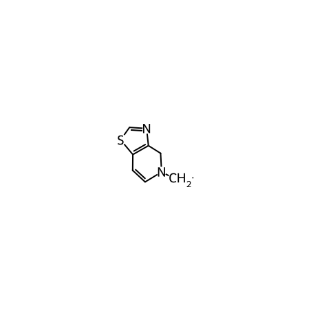 [CH2]N1C=Cc2scnc2C1